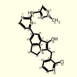 Cn1ncc(Nc2nccc(-c3cc4c5c(c3)c(O)c(Cc3cccnc3Cl)n5CC4)n2)n1